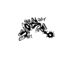 O=CC1Nc2cc([N+](=O)[O-])c(-n3cnc(COC(=O)NCCc4ccccc4)c3)cc2N=C1C(=O)O.[NaH]